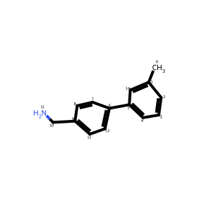 Cc1c[c]cc(-c2ccc(CN)cc2)c1